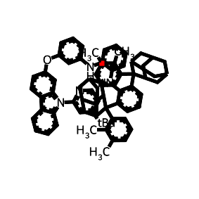 Cc1cccc(C2(c3cccc(C4(c5cccc(C)c5C)C5CC6CC(C5)CC4C6)c3Nc3ccccc3Nc3cccc(Oc4ccc5c6ccccc6n(-c6cc(C(C)(C)C)ccn6)c5c4)c3)C3CC4CC(C3)CC2C4)c1C